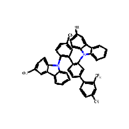 CC(C)(C)c1ccc2c(c1)c1ccccc1n2-c1ccc(C#N)cc1-c1ccc(-c2ccc(C#N)cc2C(F)(F)F)cc1-n1c2ccccc2c2cc(C(C)(C)C)ccc21